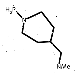 CNCC1CCN(P)CC1